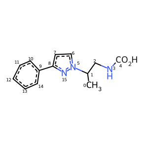 CC(CNC(=O)O)n1ccc(-c2ccccc2)n1